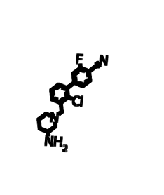 N#Cc1ccc(-c2cccc(CN3CCCC(N)C3)c2Cl)cc1F